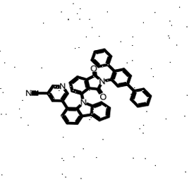 N#Cc1cncc(-c2cccc3c4ccccc4n(-c4cccc5c4C(=O)N(c4cc(-c6ccccc6)ccc4-c4ccccc4)C5=O)c23)c1